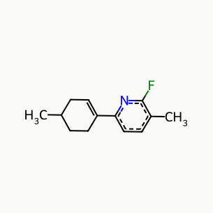 Cc1ccc(C2=CCC(C)CC2)nc1F